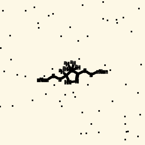 [2H]C1(SSCCCCCCCCC)NN=C(SSCCCCCCCCC)S1([2H])([2H])([2H])[2H]